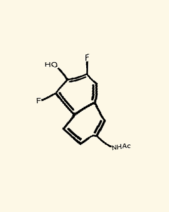 CC(=O)Nc1ccc2c(F)c(O)c(F)cc2c1